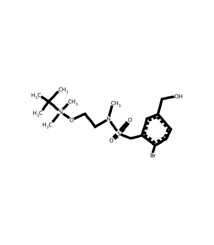 CN(CCO[Si](C)(C)C(C)(C)C)S(=O)(=O)Cc1cc(CO)ccc1Br